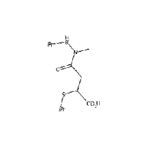 CC(C)BN(C)C(=O)CC(SC(C)C)C(=O)O